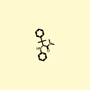 CN(C)C(=O)[C@@H](Nc1ccccc1)C(C)(C)c1ccccc1